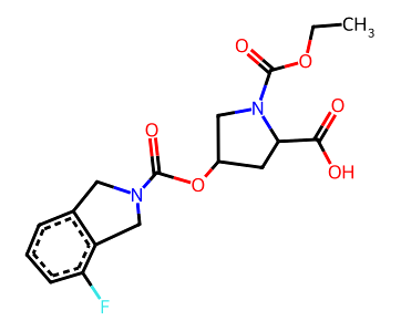 CCOC(=O)N1CC(OC(=O)N2Cc3cccc(F)c3C2)CC1C(=O)O